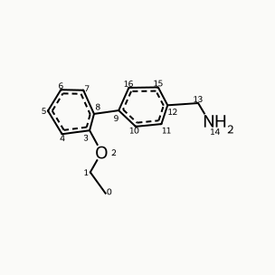 CCOc1ccccc1-c1ccc(CN)cc1